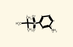 CC(C)(C)S(=O)(=O)c1cccc(N)c1